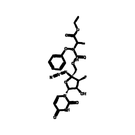 CCOC(=O)C(C)N(Oc1ccccc1)[PH](=O)OC[C@@]1(N=[N+]=[N-])O[C@@H](n2ccc(=O)[nH]c2=O)[C@H](O)[C@@H]1F